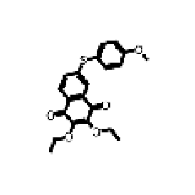 CCOC1=C(OCC)C(=O)c2cc(Sc3ccc(OC)cc3)ccc2C1=O